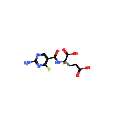 Nc1ncc(C(=O)N[C@@H](CCC(=O)O)C(=O)O)c(F)n1